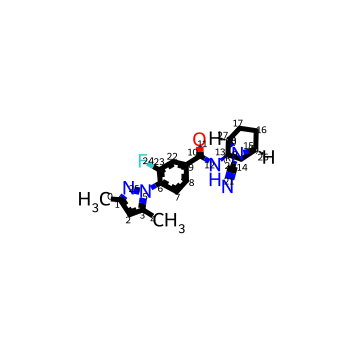 Cc1cc(C)n(-c2ccc(C(=O)N[C@@H]3C[C@@H]4CC[C@H]3N4C#N)cc2F)n1